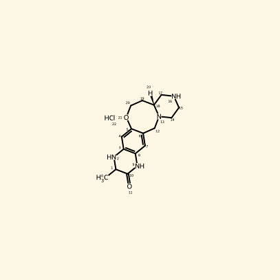 CC1Nc2cc3c(cc2NC1=O)CN1CCNC[C@H]1CCO3.Cl